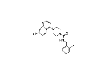 Cc1ccccc1CNC(=O)N1CCN(c2ccnc3cc(Cl)ccc23)CC1